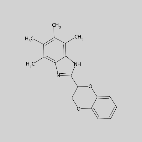 Cc1c(C)c(C)c2[nH]c(C3COc4ccccc4O3)nc2c1C